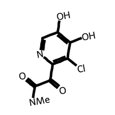 CNC(=O)C(=O)c1ncc(O)c(O)c1Cl